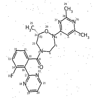 Cc1cc(N2CCN(C(=O)c3cccc(F)c3-c3ncccn3)C[C@H](C)O2)nc(C)n1